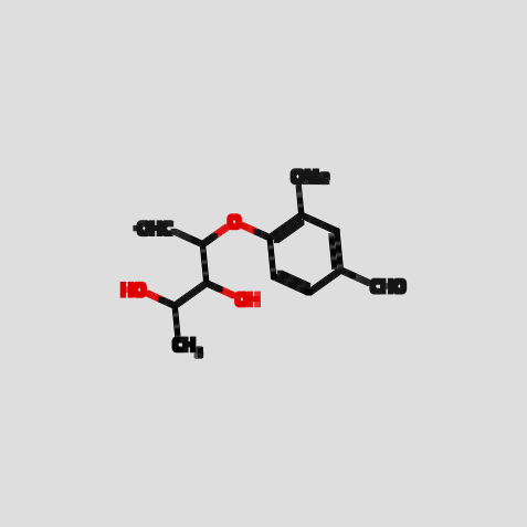 COc1cc(C=O)ccc1OC([C]=O)C(O)C(C)O